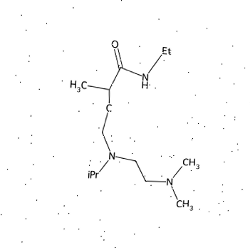 CCNC(=O)C(C)CCN(CCN(C)C)C(C)C